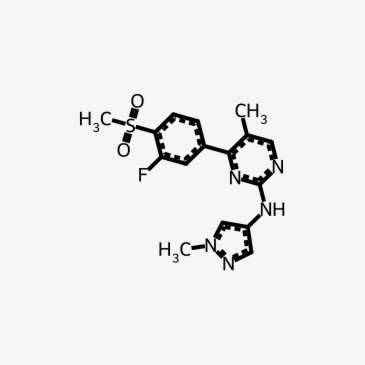 Cc1cnc(Nc2cnn(C)c2)nc1-c1ccc(S(C)(=O)=O)c(F)c1